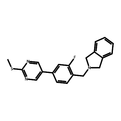 CSc1ncc(-c2ccc(CN3Cc4ccccc4C3)c(F)c2)cn1